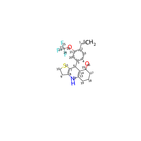 C=Cc1ccc(C2C3=C(CCS3)NC3=C2C(=O)CCC3)cc1OC(F)(F)F